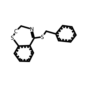 c1ccc(CSC2=NCCSc3ccccc32)cc1